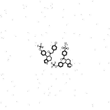 CS(=O)(=O)c1ccc(C(=O)N2CCc3sccc3C2c2ccc(OC(F)(F)F)cc2)cc1.O=C(Cc1ccc(Cl)cc1)N1CCc2sccc2C1c1ccc(OC(F)(F)F)cc1